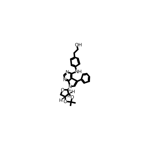 CC1(C)O[C@H]2[C@H](n3cc(-c4ccccc4)c4c(Nc5ccc(CCO)cc5)ncnc43)OC[C@H]2O1